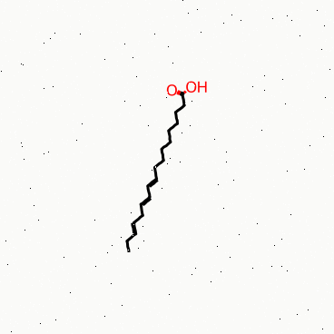 CCC=CCC=CC=CCCCCCCCCC(=O)O